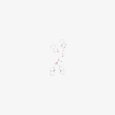 c1ccc2c3c(ccc2c1)OP(O[C@H]1COC[C@@H](OP2Oc4ccc5ccccc5c4Cc4c(ccc5ccccc45)O2)OC1)Oc1ccc2ccccc2c1C3